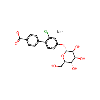 O=C([O-])c1ccc(-c2ccc(O[C@H]3O[C@H](CO)[C@@H](O)[C@H](O)[C@@H]3O)cc2Cl)cc1.[Na+]